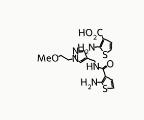 COCCn1cc(CNC(=O)c2ccsc2N)cn1.Nc1sccc1C(=O)O